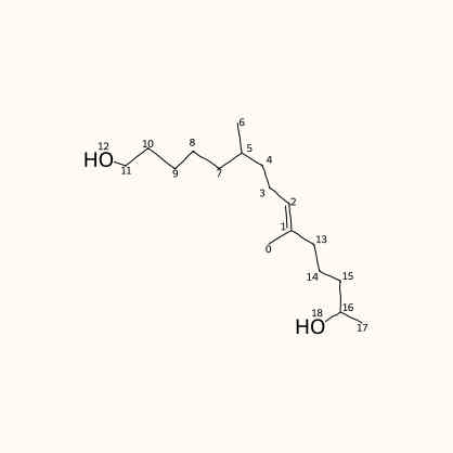 C/C(=C\CCC(C)CCCCCO)CCCC(C)O